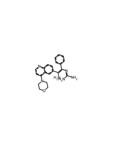 NC(N)=N/C(=C(\N)c1ccc2nccc(N3CCOCC3)c2c1)c1ccccc1